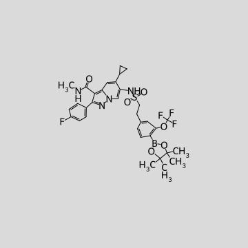 CNC(=O)c1c(-c2ccc(F)cc2)nn2cc(NS(=O)(=O)CCc3ccc(B4OC(C)(C)C(C)(C)O4)c(OC(F)(F)F)c3)c(C3CC3)cc12